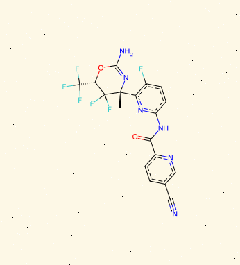 C[C@]1(c2nc(NC(=O)c3ccc(C#N)cn3)ccc2F)N=C(N)O[C@@H](C(F)(F)F)C1(F)F